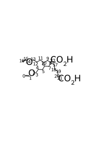 C=COCCCCCC(CCCCCOC=C)(CCCCC(=O)O)C(=O)O